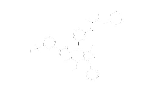 C=C(CN1CCOCC1)C(=O)Nc1cccc([C@H]2c3c(C)nn(-c4ccccc4)c3N(CC)C(=O)[C@@H]2NC(=O)c2cccc(C(F)(F)F)c2)c1